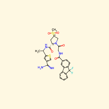 CC(NC(=O)[C@@H]1C[C@@H](S(C)(=O)=O)CN1C(=O)CNC(=O)c1ccc2c(c1)-c1ccccc1C2(F)F)c1cc(C(=N)N)cs1